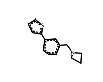 [c]1ccc(-c2cccc(CN3CCC3)c2)s1